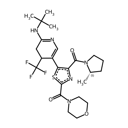 C[C@H]1CCCN1C(=O)c1nc(C(=O)N2CCOCC2)sc1C1=CN=C(NC(C)(C)C)CC1C(F)(F)F